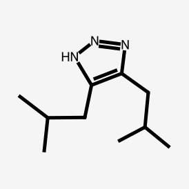 CC(C)Cc1nn[nH]c1CC(C)C